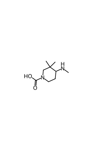 CNC1CCN(C(=O)O)CC1(C)C